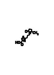 CC1CCC(=O)N1CCCc1nc(C(=O)O)cs1